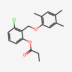 CCC(=O)Oc1cccc(Cl)c1COc1cc(C)c(C)cc1C